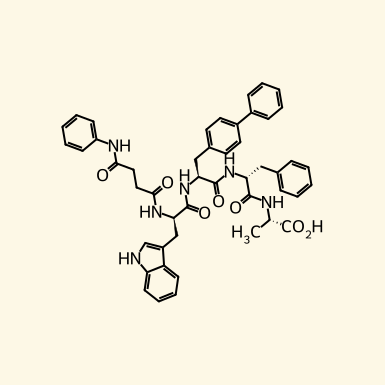 C[C@H](NC(=O)[C@@H](Cc1ccccc1)NC(=O)[C@H](Cc1ccc(-c2ccccc2)cc1)NC(=O)[C@@H](Cc1c[nH]c2ccccc12)NC(=O)CCC(=O)Nc1ccccc1)C(=O)O